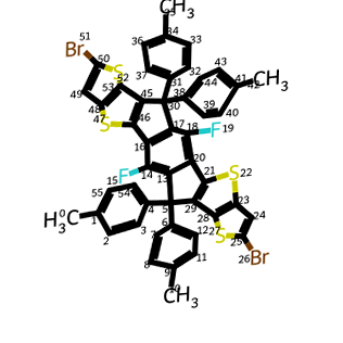 Cc1ccc(C2(c3ccc(C)cc3)c3c(F)c4c(c(F)c3-c3sc5cc(Br)sc5c32)C(c2ccc(C)cc2)(c2ccc(C)cc2)c2c-4sc3cc(Br)sc23)cc1